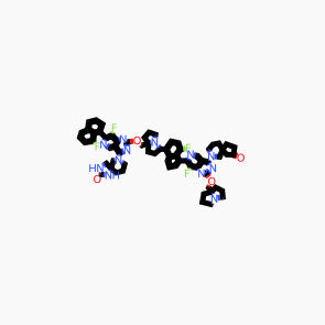 O=C1CCC2(CCCN(c3nc(OCC45CCCN4CCC5)nc4c(F)c(-c5cccc6c(C7CCC8(COc9nc(N%10CCCC%11(CNC(=O)N%11)C%10)c%10cnc(-c%11cccc%12cccc(F)c%11%12)c(F)c%10n9)CCCN78)ccc(F)c56)ncc34)C2)C1